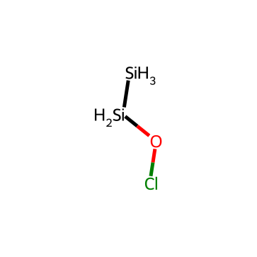 [SiH3][SiH2]OCl